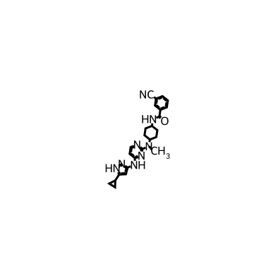 CN(c1nccc(Nc2cc(C3CC3)[nH]n2)n1)C1CCC(NC(=O)c2cccc(C#N)c2)CC1